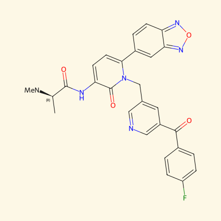 CN[C@H](C)C(=O)Nc1ccc(-c2ccc3nonc3c2)n(Cc2cncc(C(=O)c3ccc(F)cc3)c2)c1=O